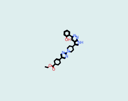 CCOC(=O)C1CC=C(c2cnc(N3CCC(c4c[nH]c5nnc(-c6ccccc6O)cc45)CC3)nc2)CC1